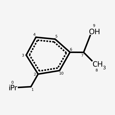 CC(C)Cc1cccc(C(C)O)c1